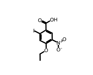 CCOc1cc(I)c(C(=O)O)cc1[N+](=O)[O-]